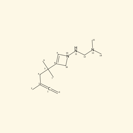 C=C=C(C)CC(C)(C)C1=CN(NCN(C)C)C1